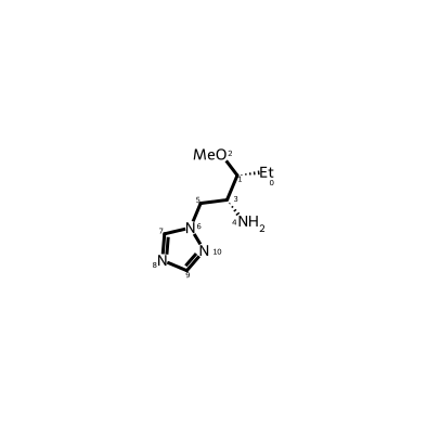 CC[C@@H](OC)[C@H](N)Cn1cncn1